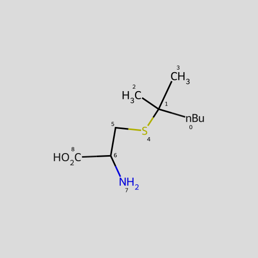 CCCCC(C)(C)SCC(N)C(=O)O